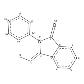 CC=C1c2ccccc2C(=O)N1c1ccncc1